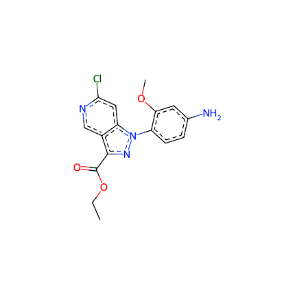 CCOC(=O)c1nn(-c2ccc(N)cc2OC)c2cc(Cl)ncc12